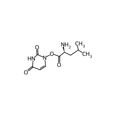 CC(C)C[C@H](N)C(=O)On1ccc(=O)[nH]c1=O